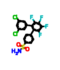 NS(=O)(=O)c1ccc(-c2c(F)c(F)c(F)c(F)c2-c2cc(Cl)cc(Cl)c2)cc1